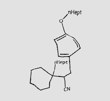 CCCCCCCOc1ccc(CC(C#N)C2(CCCCCCC)CCCCC2)cc1